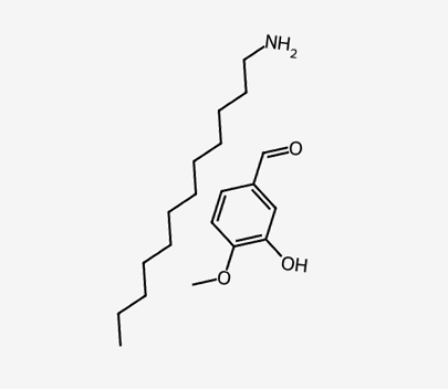 CCCCCCCCCCCCN.COc1ccc(C=O)cc1O